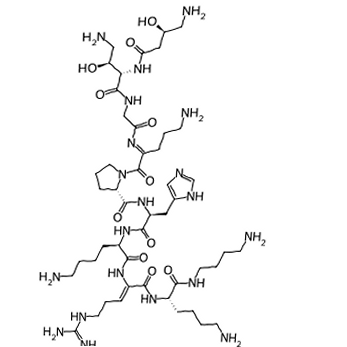 N=C(N)NCC/C=C(\NC(=O)[C@@H](CCCCN)NC(=O)[C@H](Cc1cnc[nH]1)NC(=O)[C@@H]1CCCN1C(=O)/C(CCCN)=N/C(=O)CNC(=O)[C@@H](NC(=O)C[C@@H](O)CN)[C@@H](O)CN)C(=O)N[C@@H](CCCCN)C(=O)NCCCCN